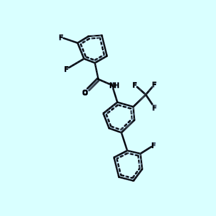 O=C(Nc1ccc(-c2ccccc2F)cc1C(F)(F)F)c1cccc(F)c1F